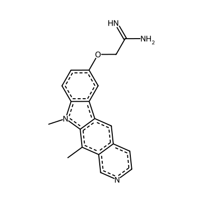 Cc1c2cnccc2cc2c3cc(OCC(=N)N)ccc3n(C)c12